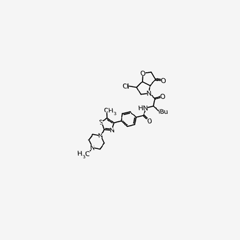 CCC(C)C(NC(=O)c1ccc(-c2nc(N3CCN(C)CC3)sc2C)cc1)C(=O)N1CC(Cl)C2OCC(=O)C21